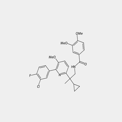 COc1ccc(C(=O)NCC(C)(c2ccc(OC)c(-c3ccc(F)c(Cl)c3)n2)C2CC2)cc1OC